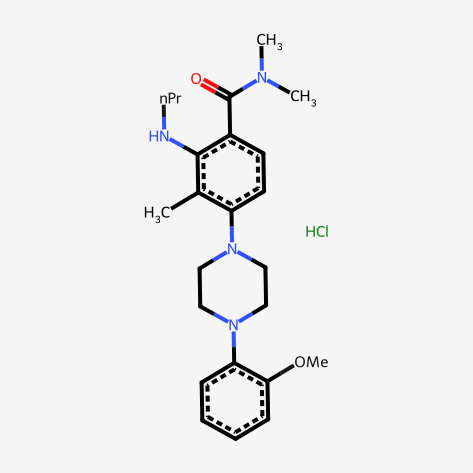 CCCNc1c(C(=O)N(C)C)ccc(N2CCN(c3ccccc3OC)CC2)c1C.Cl